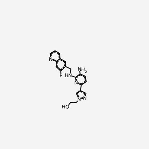 Nc1ccc(-c2cnn(CCO)c2)nc1NCc1cc2cccnc2cc1F